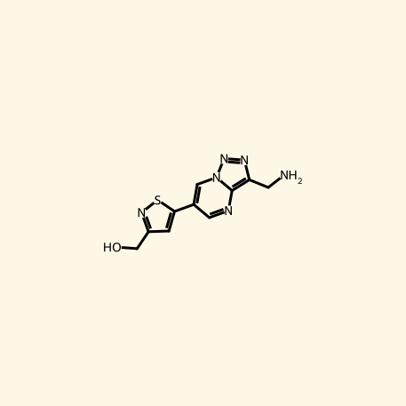 NCc1nnn2cc(-c3cc(CO)ns3)cnc12